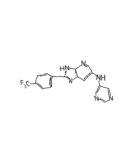 FC(F)(F)c1ccc(-c2nc3cc(Nc4cncnc4)cnc3[nH]2)cc1